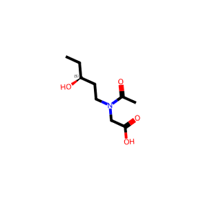 CC[C@H](O)CCN(CC(=O)O)C(C)=O